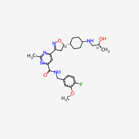 COc1cc(CNC(=O)c2cc(C3=NO[C@H](C4CCC(NC[C@H](C)O)CC4)C3)nc(C)n2)ccc1F